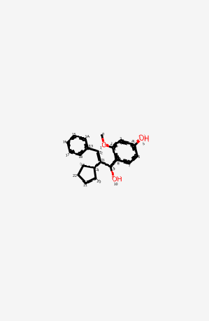 COc1cc(O)ccc1C(O)C(=Cc1ccccc1)C1CCCC1